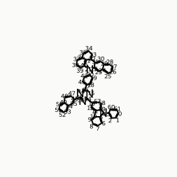 c1ccc(-n2c3ccccc3c3cc(-c4nc(-c5ccc(N6c7cc8ccccc8cc7-c7cccc8cccc6c78)cc5)nc(-c5ccc6ccccc6c5)n4)ccc32)cc1